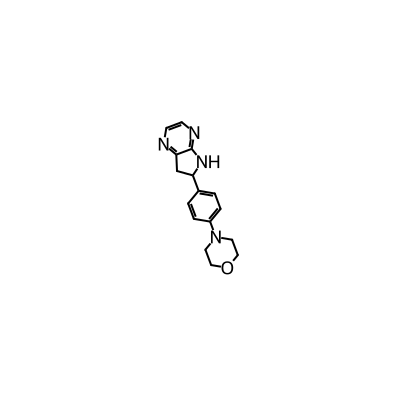 c1cnc2c(n1)CC(c1ccc(N3CCOCC3)cc1)N2